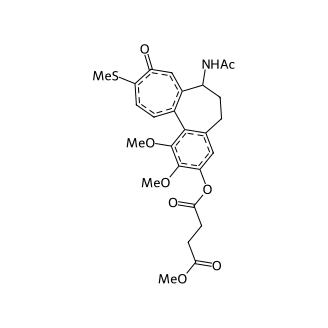 COC(=O)CCC(=O)Oc1cc2c(c(OC)c1OC)-c1ccc(SC)c(=O)cc1C(NC(C)=O)CC2